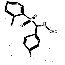 Cc1ccccc1S(=O)(=O)C(NC=O)c1ccc(F)cc1